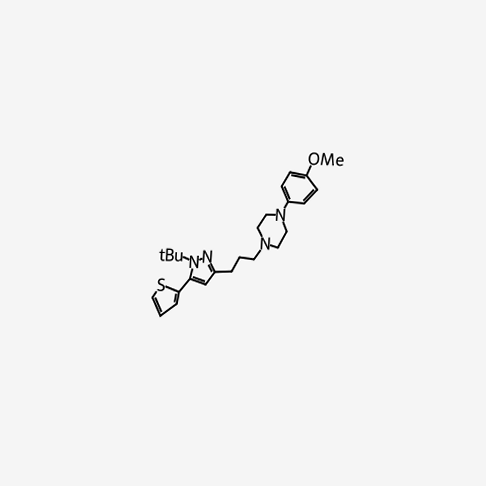 COc1ccc(N2CCN(CCCc3cc(-c4cccs4)n(C(C)(C)C)n3)CC2)cc1